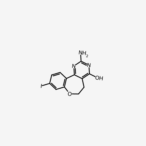 Nc1nc(O)c2c(n1)-c1ccc(I)cc1OCC2